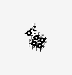 CC[NH+](CC)Cc1cccc(C)c1.Fc1c(F)c(F)c([B-](c2c(F)c(F)c(F)c(F)c2F)(c2c(F)c(F)c(F)c(F)c2F)c2c(F)c(F)c(F)c(F)c2F)c(F)c1F